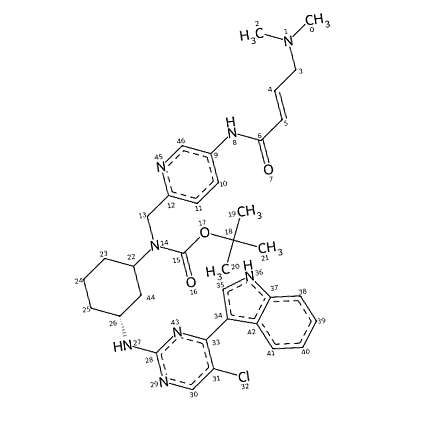 CN(C)C/C=C/C(=O)Nc1ccc(CN(C(=O)OC(C)(C)C)C2CCC[C@@H](Nc3ncc(Cl)c(-c4c[nH]c5ccccc45)n3)C2)nc1